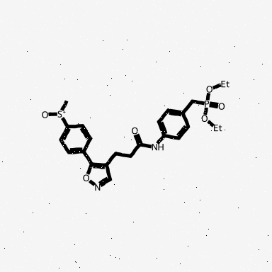 CCOP(=O)(Cc1ccc(NC(=O)CCc2cnoc2-c2ccc([S+](C)[O-])cc2)cc1)OCC